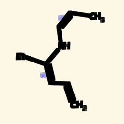 C=C/C=C(/CC)N/C=C\C